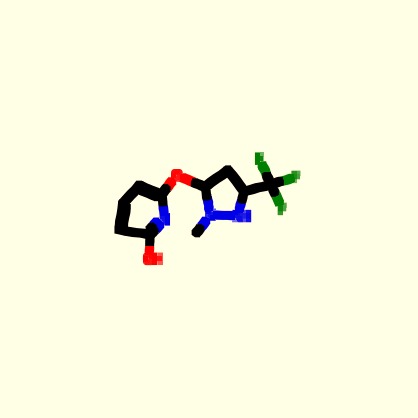 CN1NC(C(F)(F)F)CC1Oc1cccc(O)n1